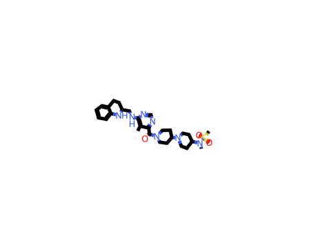 Cc1c(NCC2CCc3ccccc3N2)ncnc1C(=O)N1CCC(N2CCC(N(C)S(C)(=O)=O)CC2)CC1